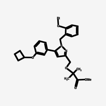 CCOc1ccccc1Cn1nc(COC(C)(C)C(=O)OC)cc1-c1cccc(OC2CCC2)c1